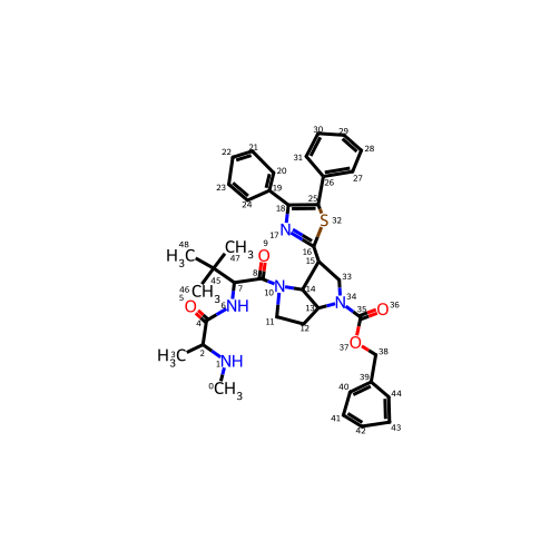 CNC(C)C(=O)NC(C(=O)N1CCC2C1C(c1nc(-c3ccccc3)c(-c3ccccc3)s1)CN2C(=O)OCc1ccccc1)C(C)(C)C